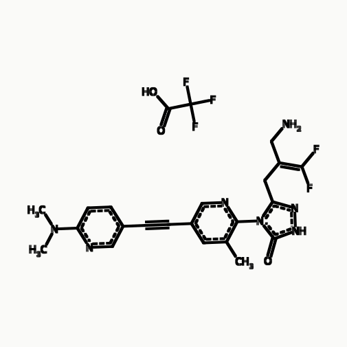 Cc1cc(C#Cc2ccc(N(C)C)nc2)cnc1-n1c(CC(CN)=C(F)F)n[nH]c1=O.O=C(O)C(F)(F)F